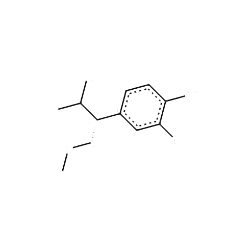 COC[C@@H](c1ccc(F)c(Cl)c1)C(C)C